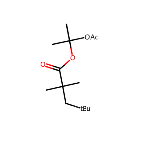 CC(=O)OC(C)(C)OC(=O)C(C)(C)CC(C)(C)C